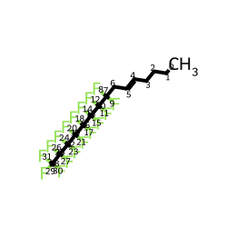 CCCCC=CCC(F)(F)C(F)(F)C(F)(F)C(F)(F)C(F)(F)C(F)(F)C(F)(F)C(F)(F)F